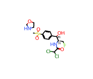 C1COCN1.CS(=O)(=O)c1ccc([C@@H](O)[C@@H](CF)NC(=O)C(Cl)Cl)cc1